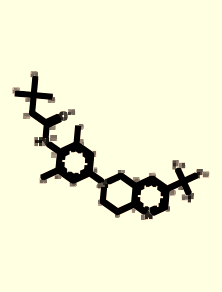 Cc1cc(N2CCc3ncc(C(F)(F)F)cc3C2)cc(C)c1NC(=O)CC(C)(C)C